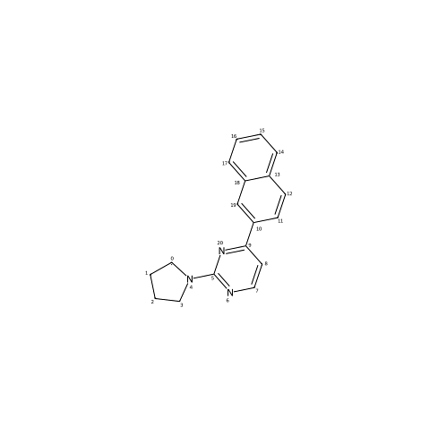 [CH]1CCCN1c1nccc(-c2ccc3ccccc3c2)n1